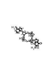 COC1C2COP(=O)(S)OC3CC(n4cnc5c(N)ncnc54)OC3CNS(=O)(=O)OC1C(n1cnc3c(=O)[nH]c(N)nc31)O2